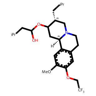 COc1cc2c(cc1OCC(F)(F)F)CCN1C[C@@H](CC(C)C)C(OC(O)CC(C)C)C[C@H]21